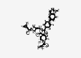 Cn1ncc2cc(-c3ccc(C4=NC5(CCN(C(=O)C(F)(F)F)CC5)C(=O)N4CC4CN(C(=O)C5CC5)C4)cc3)ccc21